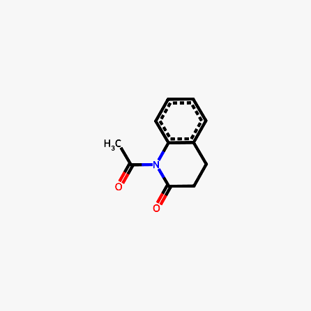 CC(=O)N1C(=O)CCc2ccccc21